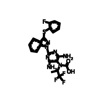 CC(N(C(=O)O)c1c(N)nc(-n2nc(Sc3ccccc3F)c3ccccc32)nc1N)C(F)(F)F